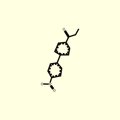 CCC(=O)c1ccc(-c2ccc([N+](=O)[O-])cc2)cc1